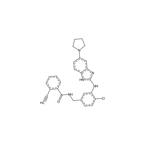 C#Cc1ccccc1C(=O)NCc1ccc(Cl)c(Nc2nc3cc(N4CCCC4)ccc3[nH]2)c1